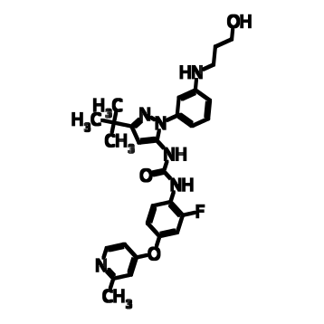 Cc1cc(Oc2ccc(NC(=O)Nc3cc(C(C)(C)C)nn3-c3cccc(NCCCO)c3)c(F)c2)ccn1